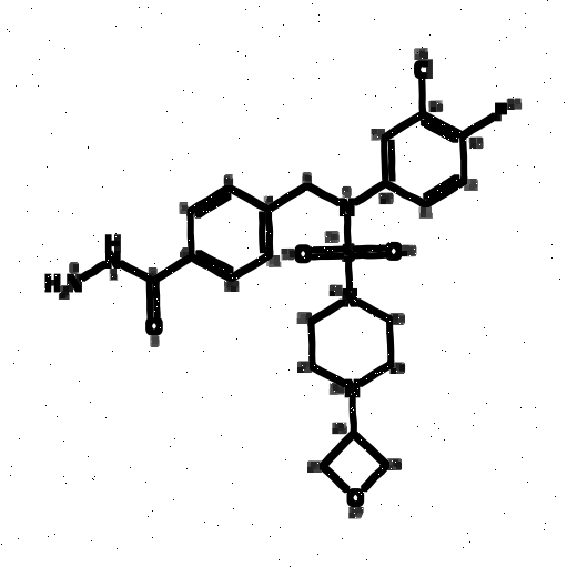 NNC(=O)c1ccc(CN(c2ccc(F)c(Cl)c2)S(=O)(=O)N2CCN(C3COC3)CC2)cc1